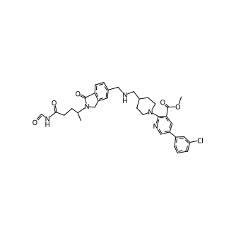 COC(=O)c1cc(-c2cccc(Cl)c2)cnc1N1CCC(CNCc2ccc3c(c2)CN(C(C)CCC(=O)NC=O)C3=O)CC1